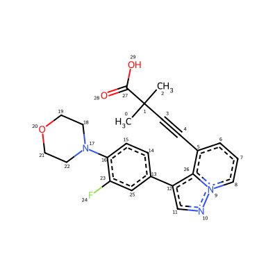 CC(C)(C#Cc1cccn2ncc(-c3ccc(N4CCOCC4)c(F)c3)c12)C(=O)O